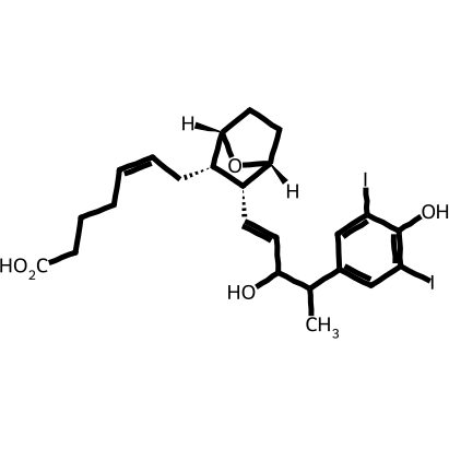 CC(c1cc(I)c(O)c(I)c1)C(O)/C=C/[C@@H]1[C@H](C/C=C\CCCC(=O)O)[C@@H]2CC[C@H]1O2